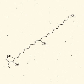 CCC(CO)C(O)CCCCCCCCCC(O)CCCCCCCCCCCO